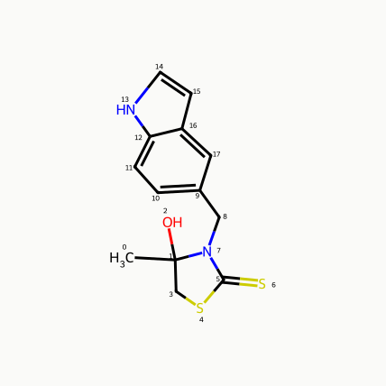 CC1(O)CSC(=S)N1Cc1ccc2[nH]ccc2c1